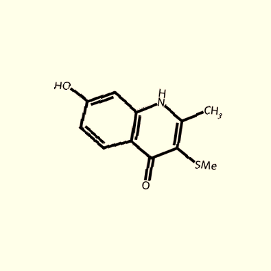 CSc1c(C)[nH]c2cc(O)ccc2c1=O